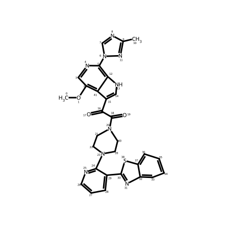 COc1cnc(-n2cnc(C)n2)c2[nH]cc(C(=O)C(=O)N3CCN(c4ncccc4-c4nc5ccccc5s4)CC3)c12